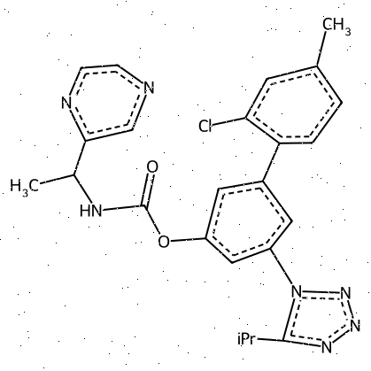 Cc1ccc(-c2cc(OC(=O)NC(C)c3cnccn3)cc(-n3nnnc3C(C)C)c2)c(Cl)c1